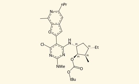 CCCc1cc2cc(-c3c(Cl)nc(NC)nc3N[C@@H]3C[C@H](CC)[C@@H](C)[C@H]3OC(=O)OC(C)(C)C)oc2c(C)n1